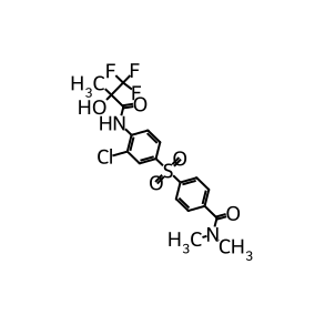 CN(C)C(=O)c1ccc(S(=O)(=O)c2ccc(NC(=O)C(C)(O)C(F)(F)F)c(Cl)c2)cc1